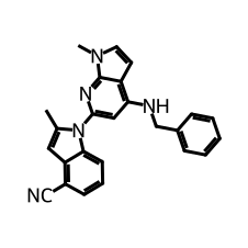 Cc1cc2c(C#N)cccc2n1-c1cc(NCc2ccccc2)c2ccn(C)c2n1